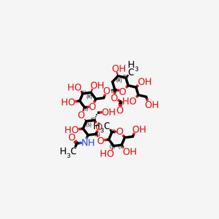 CC(=O)NC1C(O)[C@H](O[C@@H]2OC(CO[C@]3(OC=O)C[C@@H](O)[C@@H](C)C(C(O)C(O)CO)O3)[C@H](O)[C@H](O)C2O)[C@H](CO)O[C@H]1OC1[C@@H](O)[C@H](O)C(CO)O[C@@H]1C